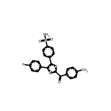 Cc1ccc(C(=O)c2nc(-c3ccc(F)cc3)c(-c3ccc(S(N)(=O)=O)cc3)s2)cc1